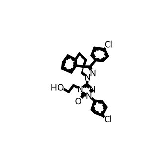 O=c1n(-c2ccc(Cl)cc2)nc(N2C[C@@]3(CCc4ccccc43)C(c3ccc(Cl)cc3)=N2)n1CCO